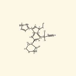 CCn1nc(-c2cc[nH]n2)c2nc([C@@H]3OCCNC3C)cc(C(C)(C)C#N)c21